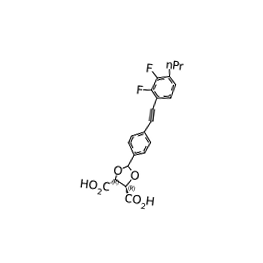 CCCc1ccc(C#Cc2ccc(C3O[C@@H](C(=O)O)[C@H](C(=O)O)O3)cc2)c(F)c1F